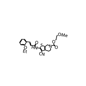 CCOc1ccccc1C=CC(=O)Nc1sc2c(c1C#N)CCN(C(=O)OCCOC)C2